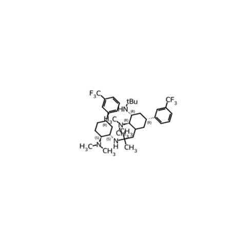 CN(C)[C@@H]1C(CC(C)(C)N[C@H]2C[C@H](c3cccc(C(F)(F)F)c3)CC[C@@H]2N(C)C)C[C@@H](c2cccc(C(F)(F)F)c2)C[C@H]1NC(C)(C)C